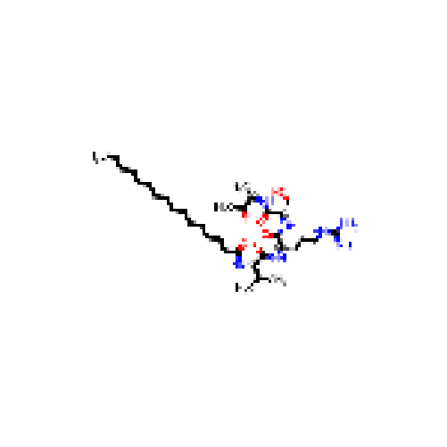 CCCCCCCCCCCCCCCC(=O)N[C@H](C(=O)N[C@@H](CCCNC(=N)N)C(=O)N[C@@H](CO)C(=O)N[C@@H](C)C(C)=O)C(C)C